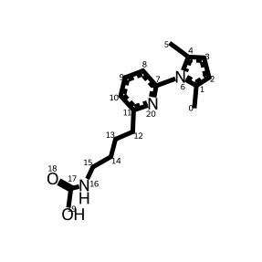 Cc1ccc(C)n1-c1cccc(CCCCNC(=O)O)n1